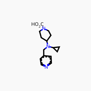 O=C(O)N1CCC(N(Cc2ccncc2)C2CC2)CC1